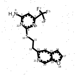 Nc1cc(C(F)(F)F)nc(SCCc2cc3ccoc3cn2)n1